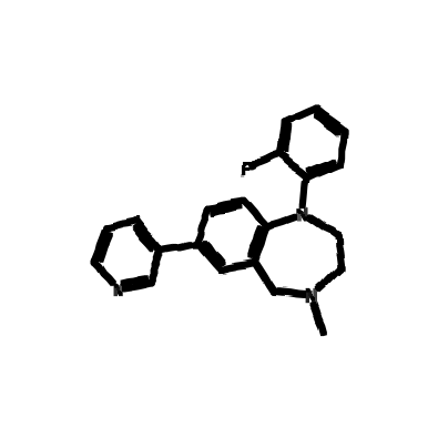 CN1CCN(c2ccccc2F)c2ccc(-c3cccnc3)cc2C1